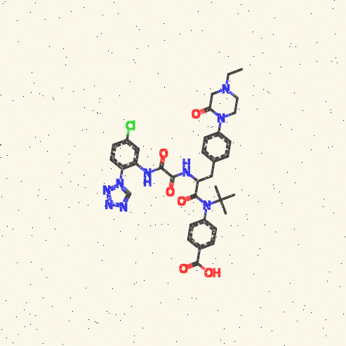 CCN1CCN(c2ccc(CC(NC(=O)C(=O)Nc3cc(Cl)ccc3-n3cnnn3)C(=O)N(c3ccc(C(=O)O)cc3)C(C)(C)C)cc2)C(=O)C1